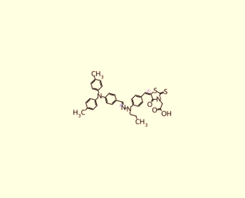 CCCN(/N=C/c1ccc(N(c2ccc(C)cc2)c2ccc(C)cc2)cc1)c1ccc(/C=C2/SC(=S)N(CC(=O)O)C2=O)cc1